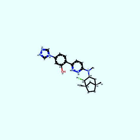 CN(c1ccc(-c2ccc(-n3cnnc3)cc2O)nn1)[C@H]1C[C@]2(C)CC[C@@H](C2)[C@H]1F